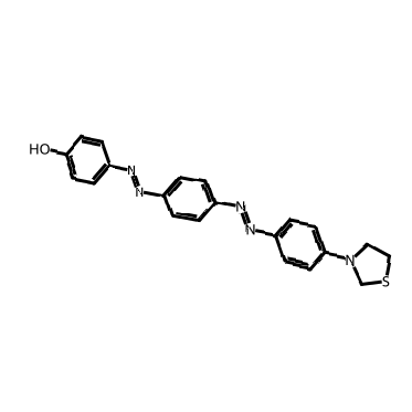 Oc1ccc(N=Nc2ccc(N=Nc3ccc(N4CCSC4)cc3)cc2)cc1